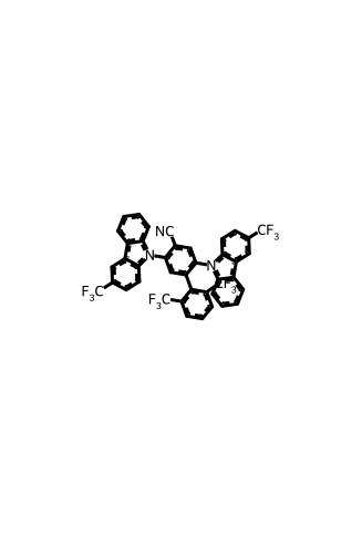 N#Cc1cc(-n2c3ccccc3c3cc(C(F)(F)F)ccc32)c(-c2c(C(F)(F)F)cccc2C(F)(F)F)cc1-n1c2ccccc2c2cc(C(F)(F)F)ccc21